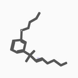 CCCC/C=C/C(C)(C)c1cccc(OCCCC)c1